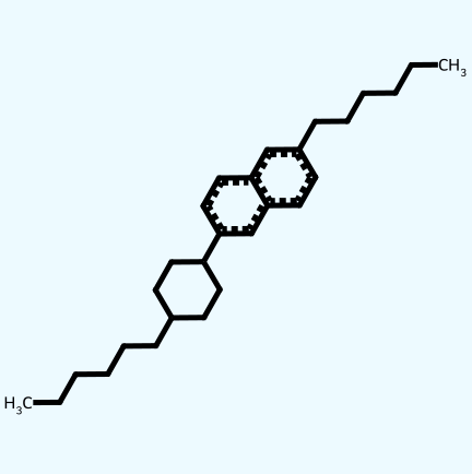 CCCCCCc1ccc2cc(C3CCC(CCCCCC)CC3)ccc2c1